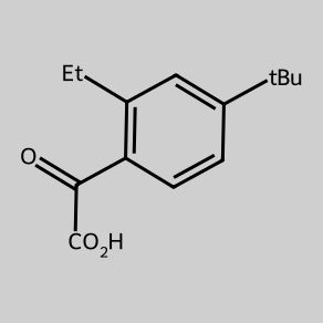 CCc1cc(C(C)(C)C)ccc1C(=O)C(=O)O